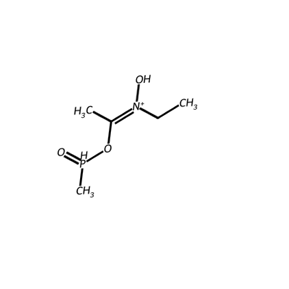 CC[N+](O)=C(C)O[PH](C)=O